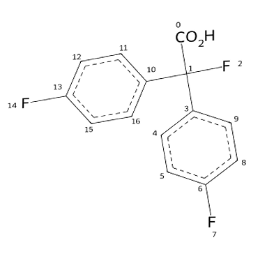 O=C(O)C(F)(c1ccc(F)cc1)c1ccc(F)cc1